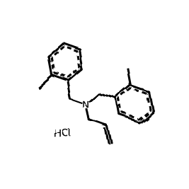 C=CCN(Cc1ccccc1C)Cc1ccccc1C.Cl